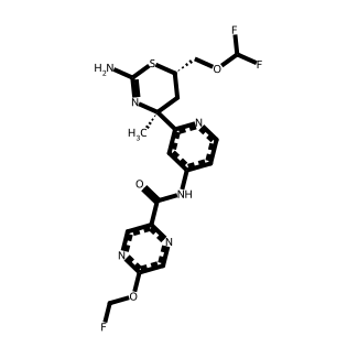 C[C@@]1(c2cc(NC(=O)c3cnc(OCF)cn3)ccn2)C[C@@H](COC(F)F)SC(N)=N1